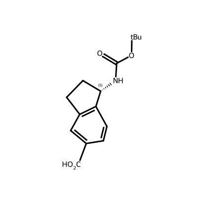 CC(C)(C)OC(=O)N[C@H]1CCc2cc(C(=O)O)ccc21